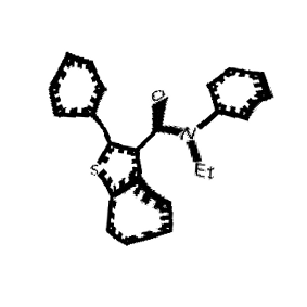 CCN(C(=O)c1c(-c2ccccc2)sc2ccccc12)c1ccccc1